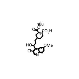 COc1ccc2ncc(Cl)c(C(O)CCC3CCN(C(=O)O)C(C(=O)OC(C)(C)C)C3)c2c1